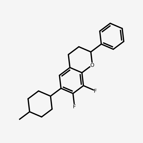 CC1CCC(c2cc3c(c(F)c2F)OC(c2ccccc2)CC3)CC1